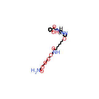 C[C@@H]1C2[C@H](CN1c1cc(OCCCCCCCCC(=O)NCCOCCOCCOCCOCC(N)=O)ccn1)N2/C=C/C(=O)c1ccccc1O